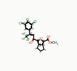 COC(=O)c1sc(C(=O)C=C(c2cc(Cl)c(Cl)c(Cl)c2)C(F)(F)F)c2c1CCC2